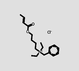 CC=CC(=O)OCCCC[N+](CC)(CC)Cc1ccccc1.[Cl-]